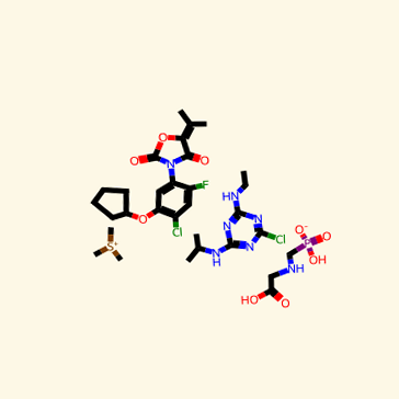 CC(C)=C1OC(=O)N(c2cc(OC3CCCC3)c(Cl)cc2F)C1=O.CCNc1nc(Cl)nc(NC(C)C)n1.C[S+](C)C.O=C(O)CNCP(=O)([O-])O